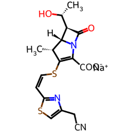 C[C@@H](O)[C@H]1C(=O)N2C(C(=O)[O-])=C(S/C=C\c3nc(CC#N)cs3)[C@H](C)[C@H]12.[Na+]